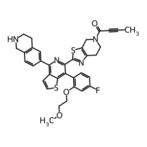 CC#CC(=O)N1CCc2nc(-c3nc(-c4ccc5c(c4)CCNC5)c4ccsc4c3-c3ccc(F)cc3OCCOC)sc2C1